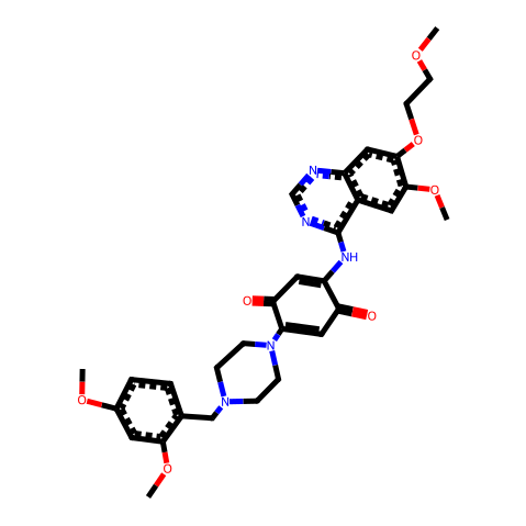 COCCOc1cc2ncnc(NC3=CC(=O)C(N4CCN(Cc5ccc(OC)cc5OC)CC4)=CC3=O)c2cc1OC